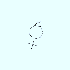 CC(C)(C)C1CCC2OC2CC1